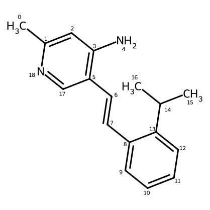 Cc1cc(N)c(/C=C/c2ccccc2C(C)C)cn1